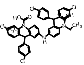 CCN(C(=O)O)c1ccc(Nc2ccc(N(CC)C(=O)O)c(C(c3ccc(Cl)cc3)c3ccc(Cl)cc3)c2)cc1C(c1ccc(Cl)cc1)c1ccc(Cl)cc1